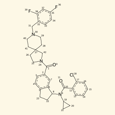 O=C(c1ccc2c(c1)C(N(C(=O)c1ccccc1Cl)C1CC1)CC2)N1CCC2(CCN(Cc3ccc(F)cc3F)CC2)C1